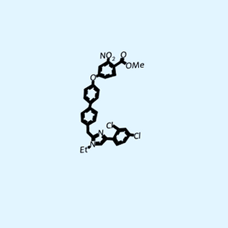 CCn1cc(-c2ccc(Cl)cc2Cl)nc1Cc1ccc(-c2ccc(Oc3ccc(C(=O)OC)c([N+](=O)[O-])c3)cc2)cc1